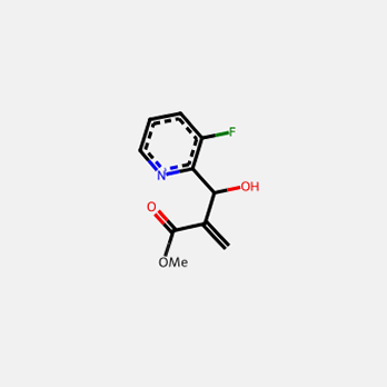 C=C(C(=O)OC)C(O)c1ncccc1F